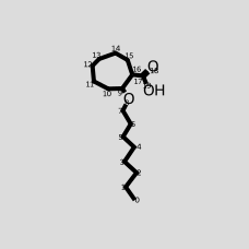 CCCCCCCCOC1CCCCCCC1C(=O)O